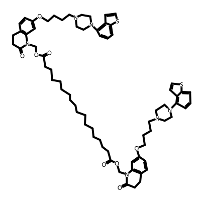 O=C(CCCCCCCCCCCCCCCCC(=O)OCN1C(=O)CCc2ccc(OCCCCN3CCN(c4cccc5sccc45)CC3)cc21)OCN1C(=O)CCc2ccc(OCCCCN3CCN(c4cccc5sccc45)CC3)cc21